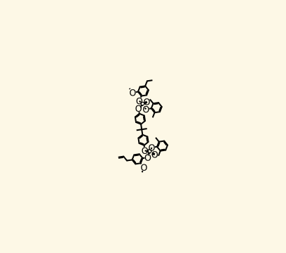 C=CCc1ccc(OP(=O)(Oc2ccc(C(C)(C)c3ccc(OP(=O)(Oc4ccc(CC)cc4OC)Oc4c(C)cccc4C)cc3)cc2)Oc2c(C)cccc2C)c(OC)c1